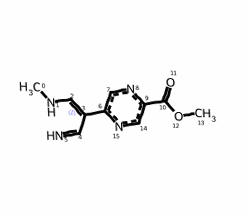 CN/C=C(\C=N)c1cnc(C(=O)OC)cn1